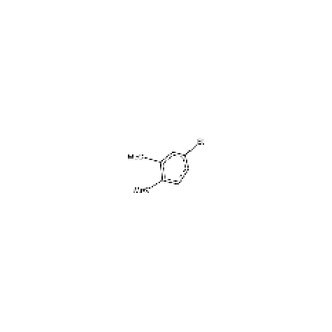 CCc1ccc(SC)c(OC)c1